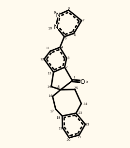 O=C1c2cc(-c3cccnn3)ccc2CC12CCc1ccccc1CC2